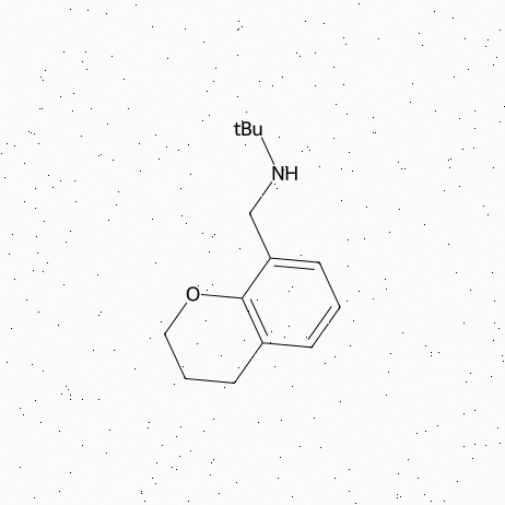 CC(C)(C)NCc1cccc2c1OCCC2